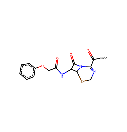 COC(=O)C1=NCSC2C(NC(=O)COc3ccccc3)C(=O)N12